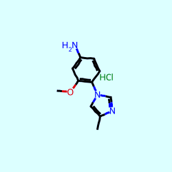 COc1cc(N)ccc1-n1cnc(C)c1.Cl